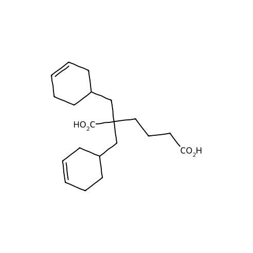 O=C(O)CCCC(CC1CC=CCC1)(CC1CC=CCC1)C(=O)O